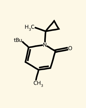 Cc1cc(C(C)(C)C)n(C2(C)CC2)c(=O)c1